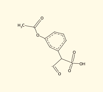 CC(=O)Oc1cccc(C([C]=O)S(=O)(=O)O)c1